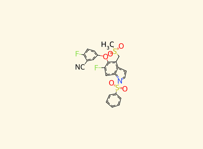 CS(=O)(=O)Cc1c(Oc2ccc(F)c(C#N)c2)c(F)cc2c1ccn2S(=O)(=O)c1ccccc1